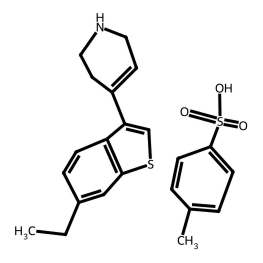 CCc1ccc2c(C3=CCNCC3)csc2c1.Cc1ccc(S(=O)(=O)O)cc1